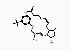 CC(=O)CCC/C=C\C[C@@H]1[C@@H](/C=C/[C@@H](C)COc2cccc(C(F)(F)F)c2)[C@H](O)C[C@@H]1O